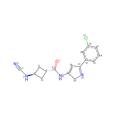 N#CN[C@H]1C[C@H](C(=O)NC2=CC(c3cccc(Cl)c3)=NC2)C1